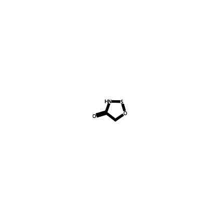 O=C1COSN1